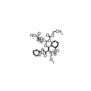 CCOC(=O)OC(C)OC1=C(C(=O)Nc2ccccn2)N(C)S(=O)(=O)c2ccccc21.O=S(=O)(O)O